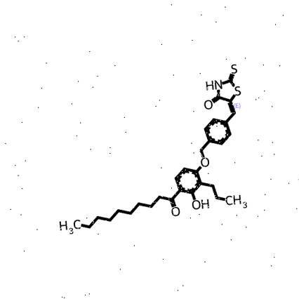 CCCCCCCCCC(=O)c1ccc(OCc2ccc(/C=C3/SC(=S)NC3=O)cc2)c(CCC)c1O